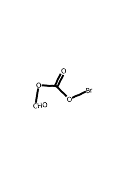 O=COC(=O)OBr